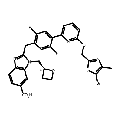 Cc1nc(COc2cccc(-c3cc(F)c(Cc4nc5ccc(C(=O)O)cc5n4C[C@@H]4CCO4)cc3F)n2)sc1Br